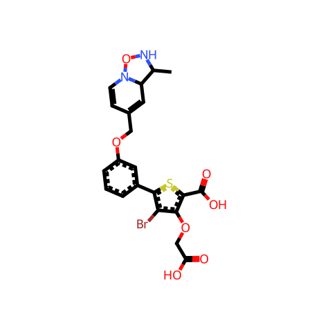 CC1NON2C=CC(COc3cccc(-c4sc(C(=O)O)c(OCC(=O)O)c4Br)c3)=CC12